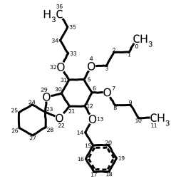 CCCCOC1C(OCCCC)C(OCc2ccccc2)C2OC3(CCCCC3)OC2C1OCCCC